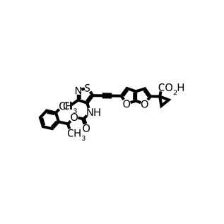 Cc1ccccc1C(C)OC(=O)Nc1c(Cl)nsc1C#Cc1cc2cc(C3(C(=O)O)CC3)oc2o1